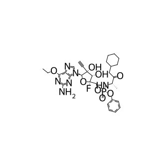 C#C[C@]1(O)[C@H](n2cnc3c(OCC)nc(N)nc32)O[C@](F)(CO[P@](=O)(N[C@@H](C)C(=O)CC2CCCCC2)Oc2ccccc2)[C@H]1O